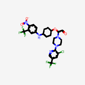 O=CC(OC1CCC(Nc2ccc([N+](=O)[O-])c(C(F)(F)F)c2)CC1)N1CCN(c2ncc(C(F)(F)F)cc2Cl)CC1